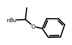 C[CH]CCC(C)Oc1ccccc1